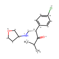 CC(C)C(=O)[C@H](CNC1CCOC1)c1ccc(Cl)cc1